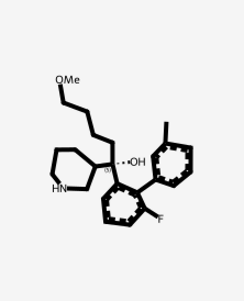 COCCCC[C@@](O)(c1cccc(F)c1-c1cccc(C)c1)C1CCCNC1